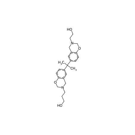 CC(C)(c1ccc2c(c1)CN(CCO)CO2)c1ccc2c(c1)CN(CCCO)CO2